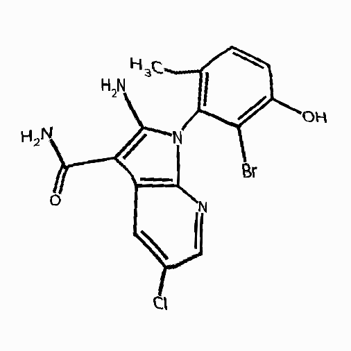 Cc1ccc(O)c(Br)c1-n1c(N)c(C(N)=O)c2cc(Cl)cnc21